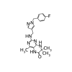 Cc1nc(NCc2cnn(Cc3ccc(F)cc3)c2)nc2c1NC(=O)C(C)(C)N2